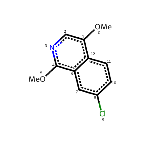 COc1cnc(OC)c2cc(Cl)ccc12